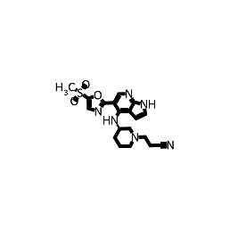 CS(=O)(=O)c1cnc(-c2cnc3[nH]ccc3c2N[C@@H]2CCCN(CCC#N)C2)o1